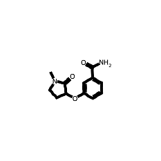 CN1CCC(Oc2cccc(C(N)=O)c2)C1=O